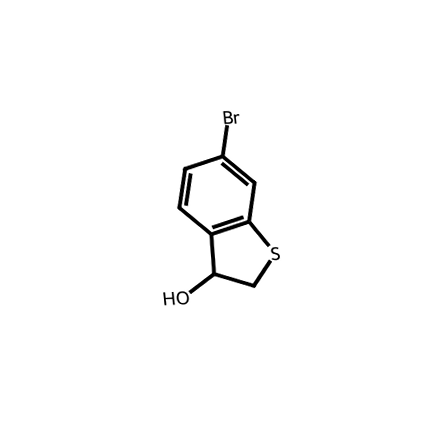 OC1CSc2cc(Br)ccc21